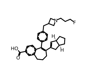 O=C(O)c1ccc2c(c1)CCCC(C1=C[C@H]3CCC[C@H]3C1)=C2c1ccc(CC2CN(CCCF)C2)cc1